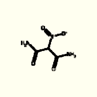 NC(=O)C(C(N)=O)[N+](=O)[O-]